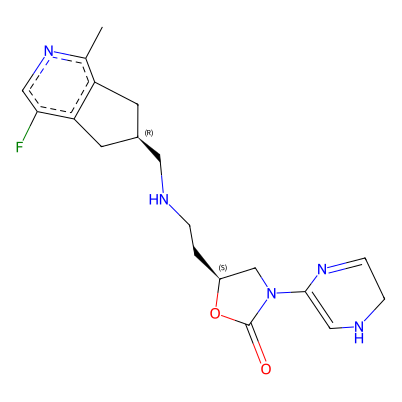 Cc1ncc(F)c2c1C[C@@H](CNCC[C@H]1CN(C3=CNCC=N3)C(=O)O1)C2